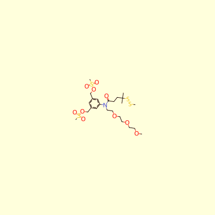 COCCOCCOCCN(C(=O)CCC(C)(C)SSC)c1cc(COS(C)(=O)=O)cc(COS(C)(=O)=O)c1